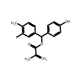 C=C(C)C(=O)OC(c1ccc(O)cc1)c1ccc(C)c(I)c1